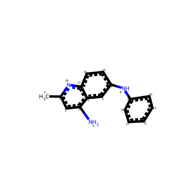 Cc1cc(N)c2cc(Nc3ccccc3)ccc2n1